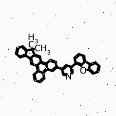 CC1(C)c2ccccc2-c2cc3c4ccccc4c4cc(-c5cncc(-c6cccc7c6oc6ccccc67)c5)ccc4c3cc21